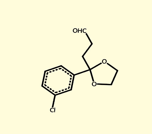 O=CCCC1(c2cccc(Cl)c2)OCCO1